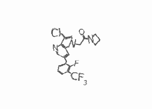 O=C(Cn1cc(Cl)c2ncc(-c3cccc(C(F)(F)F)c3F)cc21)N1CCC1